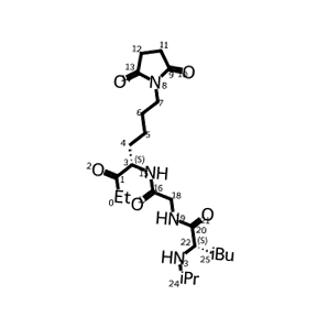 CCC(=O)[C@H](CCCCN1C(=O)CCC1=O)NC(=O)CNC(=O)[C@@H](NC(C)C)C(C)CC